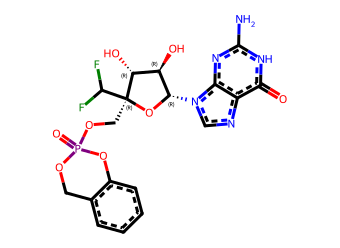 Nc1nc2c(ncn2[C@@H]2O[C@@](COP3(=O)OCc4ccccc4O3)(C(F)F)[C@H](O)[C@H]2O)c(=O)[nH]1